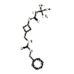 CC(C)(C)NC(=O)OC1CC(CNC(=O)OCc2ccccc2)C1